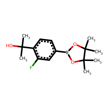 CC(C)(O)c1ccc(B2OC(C)(C)C(C)(C)O2)cc1F